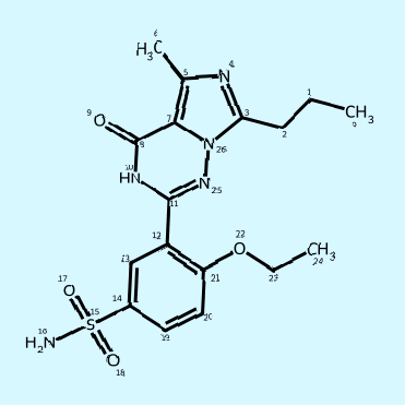 CCCc1nc(C)c2c(=O)[nH]c(-c3cc(S(N)(=O)=O)ccc3OCC)nn12